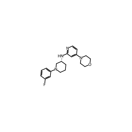 Fc1cccc(N2CCC[C@@H](Nc3cc(N4CCOCC4)ccn3)C2)c1